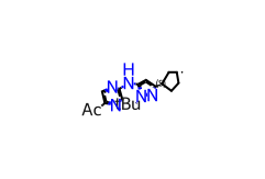 CC(=O)c1cnc(Nc2cc([C@H]3C[CH]CC3)nn2C(C)(C)C)cn1